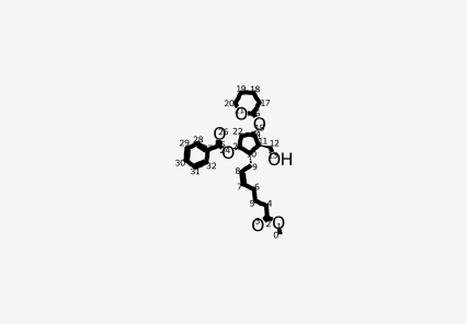 COC(=O)CCC/C=C\C[C@H]1[C@H](CO)[C@@H](OC2CCCCO2)C[C@H]1OC(=O)c1ccccc1